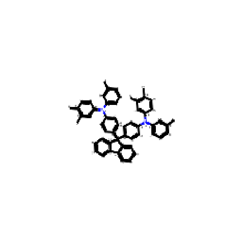 Cc1cccc(N(c2ccc(C3(c4ccc(N(c5cccc(C)c5)c5ccc(C)c(C)c5)cc4)c4ccccc4-c4ccccc43)cc2)c2ccc(C)c(C)c2)c1